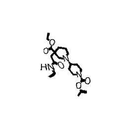 C=C(C)OC(=O)N1CCC(N2CCCC(CC(=O)NCC)(C(=O)OCC)C2)CC1